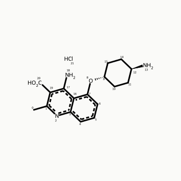 Cc1nc2cccc(O[C@H]3CC[C@H](N)CC3)c2c(N)c1C(=O)O.Cl